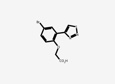 O=C(O)COc1ccc(Br)cc1-c1csnn1